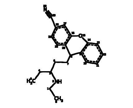 CCNC(CC)CCC1c2ccccc2Oc2cc(C#N)ccc21